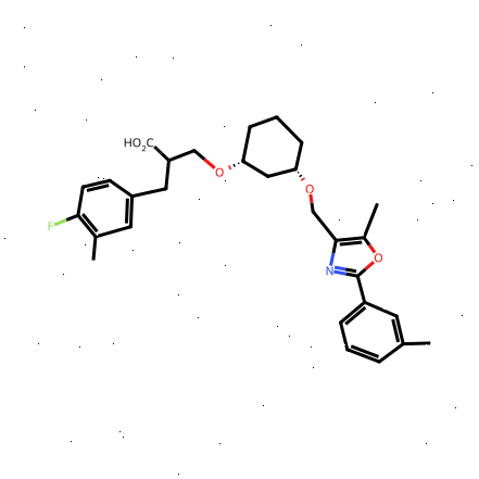 Cc1cccc(-c2nc(CO[C@H]3CCC[C@@H](OCC(Cc4ccc(F)c(C)c4)C(=O)O)C3)c(C)o2)c1